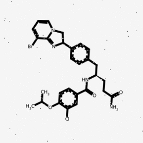 CC(C)Oc1ccc(C(=O)N[C@H](CCC(N)=O)Cc2ccc(C3CN4C=CC=C(Br)C4=N3)cc2)cc1Cl